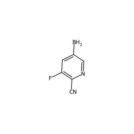 Bc1cnc(C#N)c(F)c1